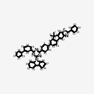 CC1(C)c2cc(-c3ccc(-c4nc(-c5cccc(-c6ccccc6)c5)nc(-n5c6ccccc6c6ccccc65)n4)cc3)ccc2-c2cc3nc(-c4ccccc4)sc3cc21